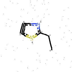 CCc1nc#cs1